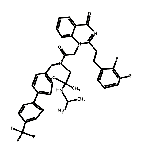 CC(C)NC(C)(C)CN(Cc1ccc(-c2ccc(C(F)(F)F)cc2)cc1)C(=O)Cn1c(CCc2cccc(F)c2F)nc(=O)c2ccccc21